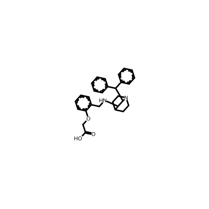 O=C(O)COc1ccccc1CNC1C2CCN(CC2)C1C(c1ccccc1)c1ccccc1